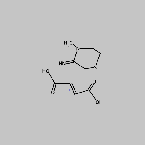 CN1CCSCC1=N.O=C(O)/C=C/C(=O)O